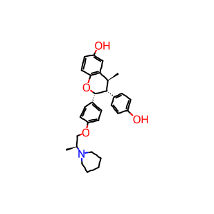 C[C@@H]1c2cc(O)ccc2O[C@@H](c2ccc(OC[C@H](C)N3CCCCC3)cc2)[C@H]1c1ccc(O)cc1